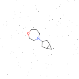 C1COCCN(C2CC3CC3C2)C1